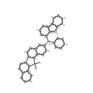 CC1(C)c2c(ccc3ccccc23)-c2ccc3cc(N(c4ccccc4)c4cccc5c4oc4ccccc45)ccc3c21